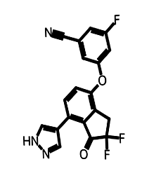 N#Cc1cc(F)cc(Oc2ccc(-c3cn[nH]c3)c3c2CC(F)(F)C3=O)c1